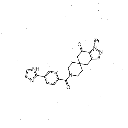 CC(C)n1ncc2c1C(=O)CC1(CCN(C(=O)c3ccc(-c4ncc[nH]4)cc3)CC1)C2